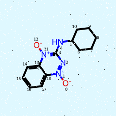 [O-][n+]1nc(NC2CCCCC2)[n+]([O-])c2ccccc21